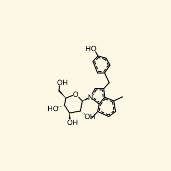 Cc1ccc(C)c2c1c(Cc1ccc(O)cc1)cn2[C@@H]1O[C@H](CO)[C@@H](O)[C@H](O)[C@H]1O